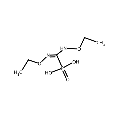 CCON=C(NOCC)P(=O)(O)O